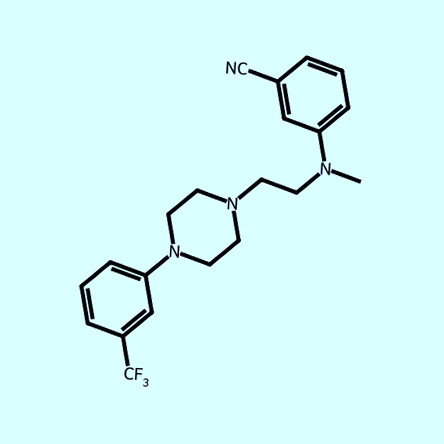 CN(CCN1CCN(c2cccc(C(F)(F)F)c2)CC1)c1cccc(C#N)c1